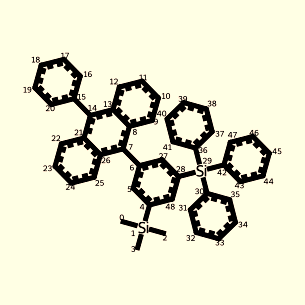 C[Si](C)(C)c1cc(-c2c3ccccc3c(-c3ccccc3)c3ccccc23)cc([Si](c2ccccc2)(c2ccccc2)c2ccccc2)c1